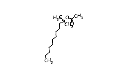 CCCCCCCCCC[Si](C)(C)OC(C)=O